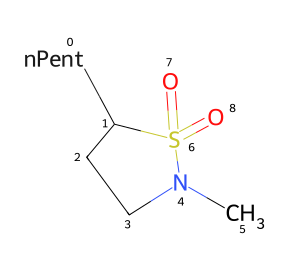 CCCCCC1CCN(C)S1(=O)=O